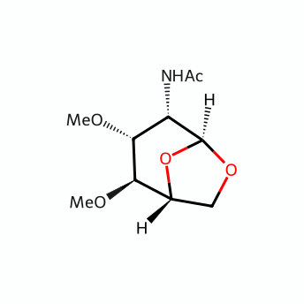 CO[C@@H]1[C@H](NC(C)=O)[C@H]2OC[C@@H](O2)[C@H]1OC